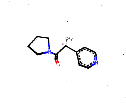 [CH2][C@@H](C(=O)N1CCCC1)c1ccncc1